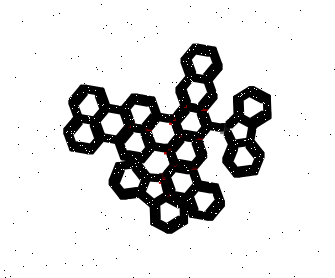 c1cc(N(c2ccc(-c3cccc4cccc(-c5ccc(N(c6cccc(-n7c8ccccc8c8ccccc87)c6)c6ccc7ccccc7c6)cc5)c34)cc2)c2ccc3ccccc3c2)cc(-n2c3ccccc3c3ccccc32)c1